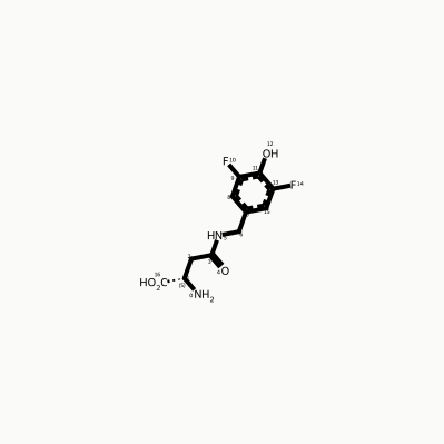 N[C@@H](CC(=O)NCc1cc(F)c(O)c(F)c1)C(=O)O